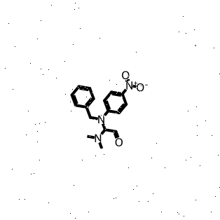 CN(C)C(C=O)N(Cc1ccccc1)c1ccc([N+](=O)[O-])cc1